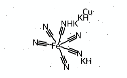 N#[C][Fe]([C]#N)([C]#N)([C]#N)([C]#N)[C]#N.[Cu].[KH].[KH].[KH]